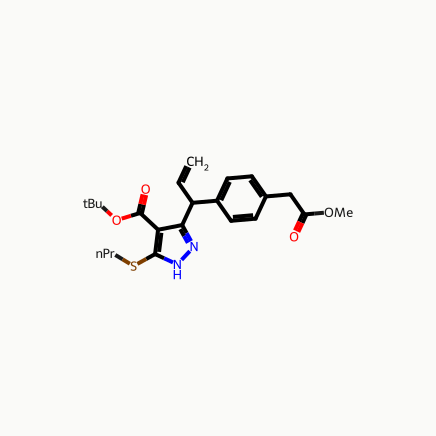 C=CC(c1ccc(CC(=O)OC)cc1)c1n[nH]c(SCCC)c1C(=O)OC(C)(C)C